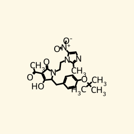 CC(=O)C1=C(O)C(Cc2ccc(OC(C)(C)C)cc2)N(CCn2c([N+](=O)[O-])cnc2C)C1=O